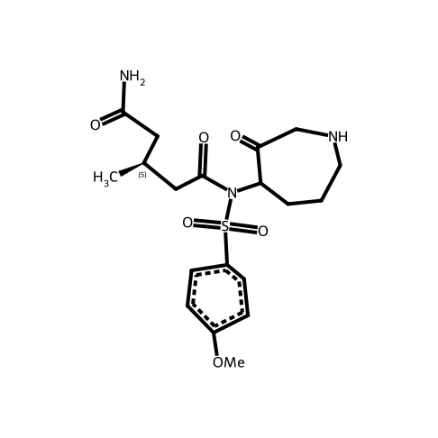 COc1ccc(S(=O)(=O)N(C(=O)C[C@@H](C)CC(N)=O)C2CCCNCC2=O)cc1